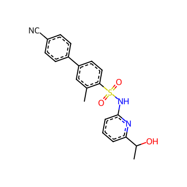 Cc1cc(-c2ccc(C#N)cc2)ccc1S(=O)(=O)Nc1cccc(C(C)O)n1